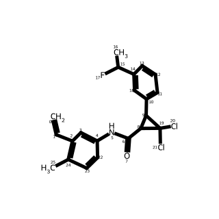 C=Cc1cc(NC(=O)C2C(c3cccc(C(C)F)c3)C2(Cl)Cl)ccc1C